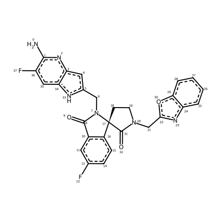 Nc1nc2cc(CN3C(=O)c4cc(F)ccc4[C@]34CCN(Cc3nc5ccccc5o3)C4=O)[nH]c2cc1F